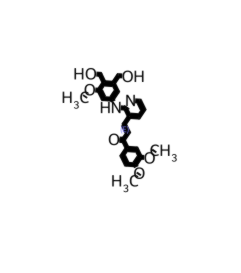 COc1ccc(C(=O)/C=C/c2cccnc2Nc2cc(CO)c(CO)c(OC)c2)cc1OC